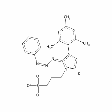 Cc1cc(C)c(-n2ccn(CCCS(=O)(=O)[O-])c2=NN=Nc2ccccc2)c(C)c1.[K+]